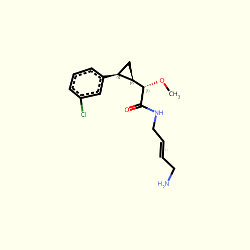 CO[C@H](C(=O)NC/C=C/CN)[C@@H]1C[C@@H]1c1cccc(Cl)c1